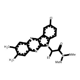 CCC(C(=O)N(NC)NC)n1c2ccc(Cl)cc2c2nc3cc(C)c(C)cc3nc21